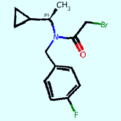 C[C@H](C1CC1)N(Cc1ccc(F)cc1)C(=O)CBr